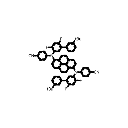 [C-]#[N+]c1ccc(N(c2cc(-c3cccc(C(C)(C)C)c3)c(F)cc2F)c2ccc3ccc4c(N(c5ccc(C#N)cc5)c5cc(-c6cccc(C(C)(C)C)c6)c(F)cc5F)ccc5ccc2c3c54)cc1